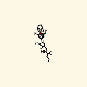 CCCC(=O)NCC1CN(c2cc(F)c(N3C4CCC3C[S+]([O-])C4)c(F)c2)C(=O)O1